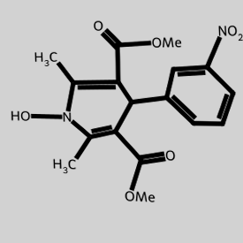 COC(=O)C1=C(C)N(O)C(C)=C(C(=O)OC)C1c1cccc([N+](=O)[O-])c1